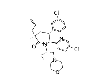 C=CC[C@@]1(C)C[C@H](c2cccc(Cl)c2)[C@@H](c2ccc(Cl)cn2)N([C@@H](CC)CN2CCOCC2)C1=O